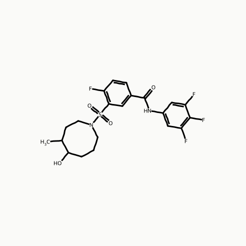 CC1CCN(S(=O)(=O)c2cc(C(=O)Nc3cc(F)c(F)c(F)c3)ccc2F)CCCC1O